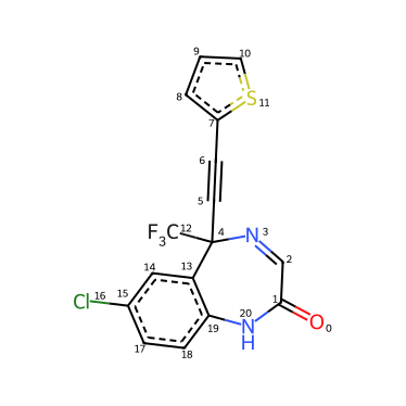 O=C1C=NC(C#Cc2cccs2)(C(F)(F)F)c2cc(Cl)ccc2N1